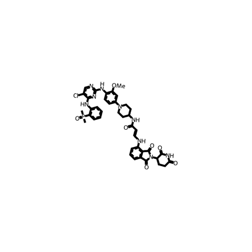 COc1cc(N2CCC(NC(=O)C=CNc3cccc4c3C(=O)N(C3CCC(=O)NC3=O)C4=O)CC2)ccc1Nc1ncc(Cl)c(Nc2ccccc2P(C)(C)=O)n1